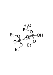 CCOP(=O)(O)OCC.CCOP(=O)(O)OCC.O